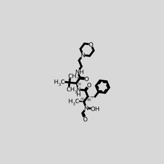 C[C@@H]([C@@H](Cc1ccccc1)C(=O)N[C@H](C(=O)NCCN1CCOCC1)C(C)(C)C)N(O)C=O